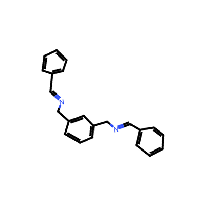 C(=NCc1cccc(CN=Cc2ccccc2)c1)c1ccccc1